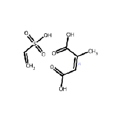 C/C(=C/C(=O)O)C(=O)O.C=CS(=O)(=O)O